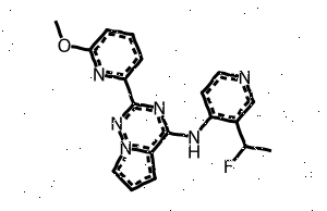 COc1cccc(-c2nc(Nc3ccncc3C(C)F)c3cccn3n2)n1